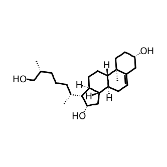 C[C@@H](CO)CCC[C@@H](C)[C@@H]1[C@H]2CC[C@H]3[C@@H](CC=C4C[C@@H](O)CC[C@@]43C)[C@@H]2C[C@@H]1O